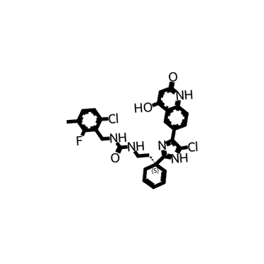 Cc1ccc(Cl)c(CNC(=O)NCC[C@]2(c3nc(-c4ccc5[nH]c(=O)cc(O)c5c4)c(Cl)[nH]3)C=CC=CC2)c1F